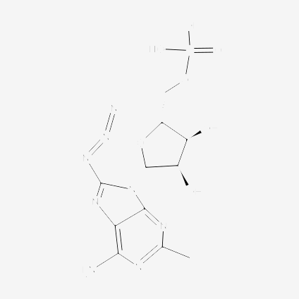 Cc1nc(N)c2nc(N=[N+]=[N-])n([C@@H]3O[C@H](COP(=O)(O)O)[C@@H](O)[C@H]3O)c2n1